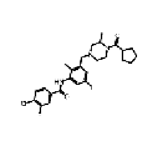 Cc1c(CN2CCN(C(=O)C3CCCC3)C(C)C2)cc(F)cc1NC(=O)c1ccc(Cl)c(F)c1